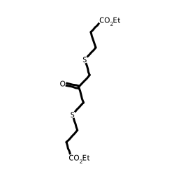 CCOC(=O)CCSCC(=O)CSCCC(=O)OCC